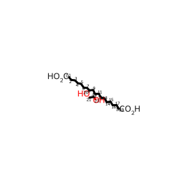 O=C(O)CCCCCCCCCCCCCCCCCCC(=O)O.OCCO